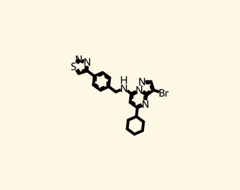 Brc1cnn2c(NCc3ccc(-c4csnn4)cc3)cc(C3CCCCC3)nc12